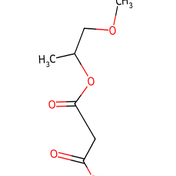 COCC(C)OC(=O)CC(=O)O